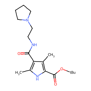 Cc1[nH]c(C(=O)OC(C)(C)C)c(C)c1C(=O)NCCN1CCCC1